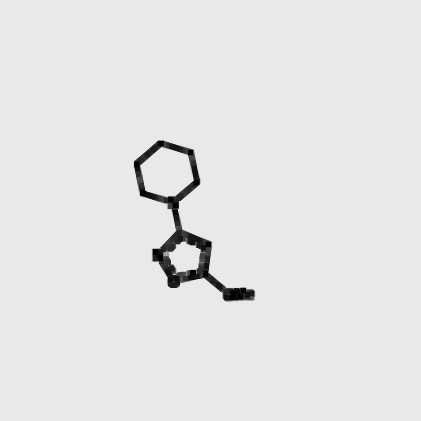 COc1cc(N2CCCCC2)no1